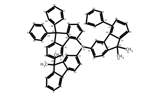 CC1(C)c2ccccc2-c2ccc(N(c3ccc4c(c3)-c3c(-c5ccccc5)cccc3C4(C)C)c3cccc4c3-c3ccccc3C4(c3ccccc3)c3ccccc3)cc21